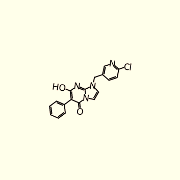 O=c1c(-c2ccccc2)c(O)nc2n(Cc3ccc(Cl)nc3)ccn12